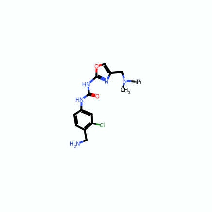 CC(C)N(C)Cc1coc(NC(=O)Nc2ccc(CN)c(Cl)c2)n1